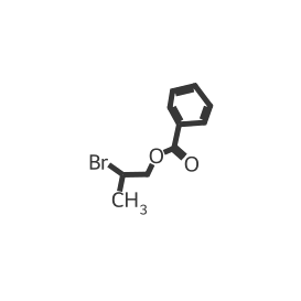 CC(Br)COC(=O)c1ccccc1